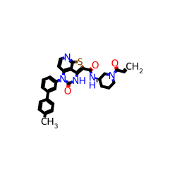 C=CC(=O)N1CCC[C@@H](NC(=O)c2sc3nccc4c3c2NC(=O)N4c2cccc(-c3ccc(C)cc3)c2)C1